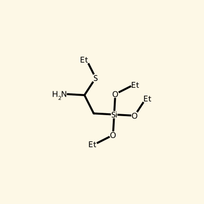 CCO[Si](CC(N)SCC)(OCC)OCC